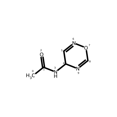 CC(=O)NC1C=NOC=N1